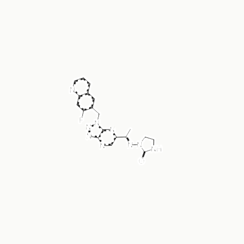 C/C(=N\N1CCNC1=O)c1cnc2nnn(Cc3cc4cccnc4cc3F)c2n1